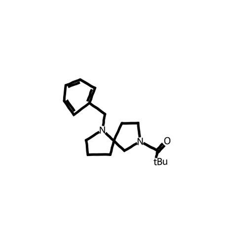 CC(C)(C)C(=O)N1CCC2(CCCN2Cc2ccccc2)C1